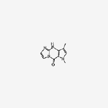 Cc1cn(C)c2c(=O)n3ccnc3[nH]c12